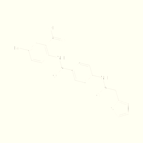 O=C(Cc1cccs1)Nc1ccc(C(=O)Nc2ccc(Br)cc2C(=O)O)cc1